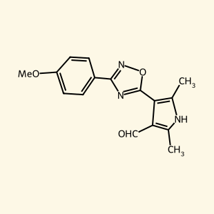 COc1ccc(-c2noc(-c3c(C)[nH]c(C)c3C=O)n2)cc1